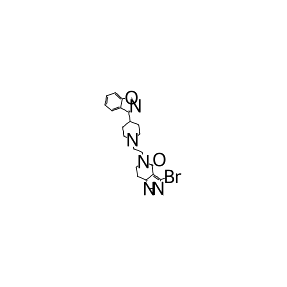 Cn1nc2c(c1Br)C(=O)N(CCN1CCC(c3noc4ccccc34)CC1)CC2